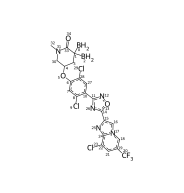 BC1(B)CC(Oc2cc(Cl)c(-c3noc(-c4cn5cc(C(F)(F)F)cc(Cl)c5n4)n3)cc2Cl)CN(C)C1=O